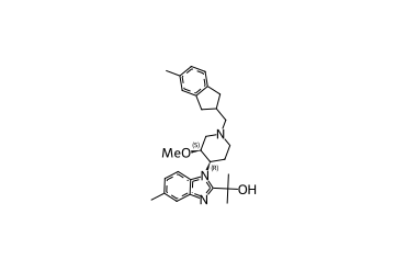 CO[C@H]1CN(CC2Cc3ccc(C)cc3C2)CC[C@H]1n1c(C(C)(C)O)nc2cc(C)ccc21